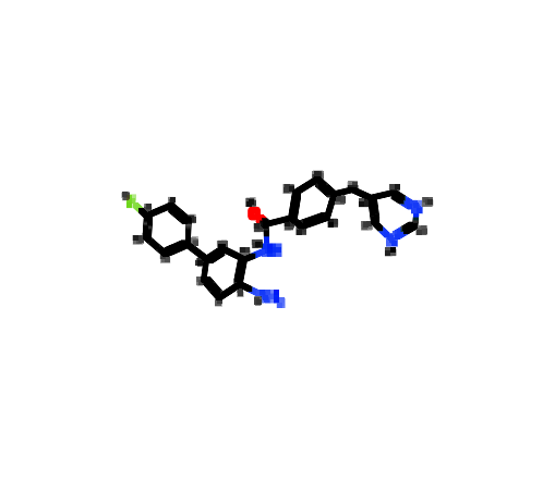 Nc1ccc(-c2ccc(F)cc2)cc1NC(=O)c1ccc(Cc2cncnc2)cc1